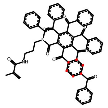 C=C(C)C(=O)NCCCN(C(=O)c1ccccc1)C(=O)c1c(C(=O)c2ccccc2)c(C(=O)c2ccccc2)c(C(=O)c2ccccc2)c(C(=O)c2ccccc2)c1C(=O)c1ccc(C(=O)c2ccccc2)cc1